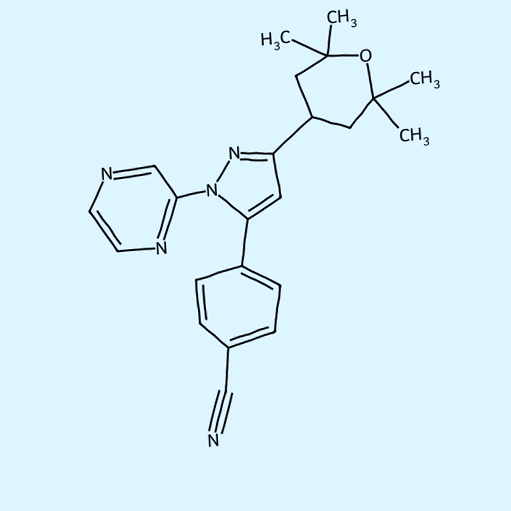 CC1(C)CC(c2cc(-c3ccc(C#N)cc3)n(-c3cnccn3)n2)CC(C)(C)O1